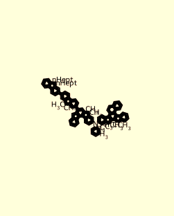 CCCCCCCC1(CCCCCCC)c2ccccc2-c2ccc(-c3ccc4c(c3)C(C)(C)c3cc(-c5cc6c(c7c5Cc5ccccc5-7)-c5ccc(N(c7ccc8c(c7)C(C)(C)c7c-8c8c(c9c7C(C)(C)c7ccccc7-9)-c7ccccc7CC8)c7ccccc7C)cc5C6(C)C)ccc3-4)cc21